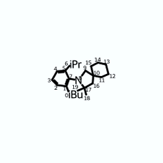 CCC(C)c1cccc(C(C)C)c1N1CC2(CCCCC2)CC1(C)C